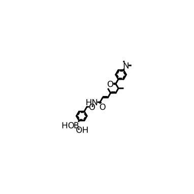 CC(/C=C/C(=O)NOCc1ccc(B(O)O)cc1)=C\C(C)C(=O)c1ccc(N(C)C)cc1